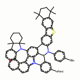 CCCCCc1ccc2c(c1)B1c3c(cc(N4c5ccccc5C5(C)CCCCC45C)c4c5c6ccccc6ccc5n-2c34)-c2cc3c(cc2N1c1ccc(C(C)(C)C)cc1)sc1cc2c(cc13)C(C)(C)CCC2(C)C